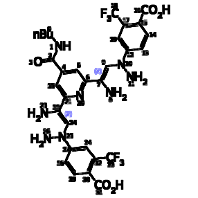 CCCCNC(=O)c1cc(/C(N)=C/N(N)c2ccc(C(=O)O)c(C(F)(F)F)c2)nc(/C(N)=C/N(N)c2ccc(C(=O)O)c(C(F)(F)F)c2)c1